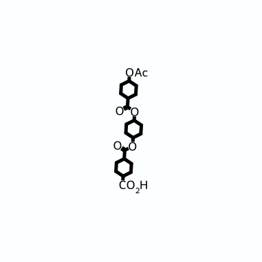 CC(=O)OC1CCC(C(=O)OC2CCC(OC(=O)C3CCC(C(=O)O)CC3)CC2)CC1